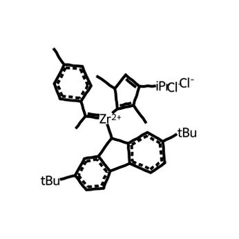 CC1=[C](/[Zr+2](=[C](/C)c2ccc(C)cc2)[CH]2c3cc(C(C)(C)C)ccc3-c3ccc(C(C)(C)C)cc32)C(C)C=C1C(C)C.[Cl-].[Cl-]